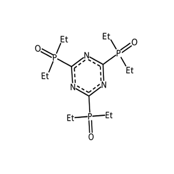 CCP(=O)(CC)c1nc(P(=O)(CC)CC)nc(P(=O)(CC)CC)n1